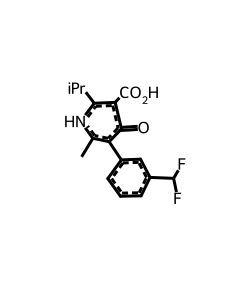 Cc1[nH]c(C(C)C)c(C(=O)O)c(=O)c1-c1cccc(C(F)F)c1